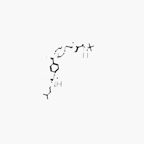 CC(C)CCNC(=O)Nc1ccc(C(=O)N2CCN(Cc3nc(C(=O)NC(C)(C)C)cs3)CC2)cc1